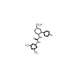 Cc1ccc(C2CN(C(=O)O)CCC2NC(=O)Nc2cc(C(F)(F)F)cc(C(F)(F)F)c2)cc1